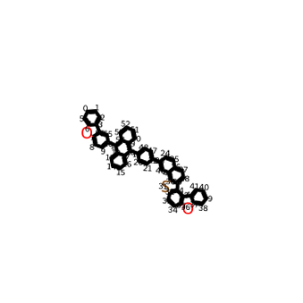 c1ccc2c(c1)oc1ccc(-c3c4ccccc4c(-c4ccc(-c5ccc6ccc7c(sc8ccc9oc%10ccccc%10c9c87)c6c5)cc4)c4ccccc34)cc12